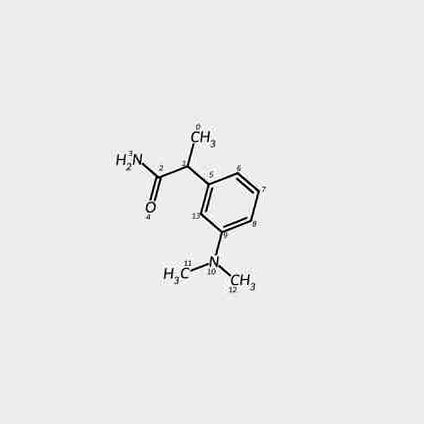 CC(C(N)=O)c1cccc(N(C)C)c1